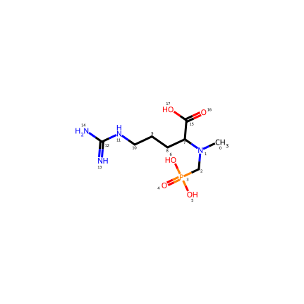 CN(CP(=O)(O)O)C(CCCNC(=N)N)C(=O)O